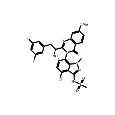 COc1ccc2c(=O)n(-c3ccc(Cl)c4c(NS(C)(=O)=O)nn(C)c34)c([C@@H](N)Cc3cc(F)cc(F)c3)nc2c1